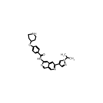 CC(C)n1cc(-c2cc3cc(NC(=O)c4ccc(OC5CCNCC5)cc4)ncc3cn2)cn1